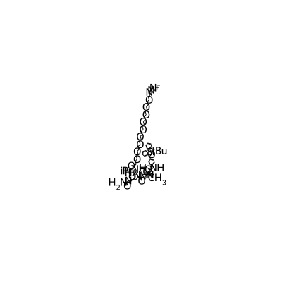 CC(C)C(NC(=O)CCOCCOCCOCCOCCOCCOCCOCCOCCOCCN=[N+]=[N-])C(=O)NC(CCCNC(N)=O)C(=O)NCC(=O)N(C)CC(=O)Nc1ccc(CO[Si](c2ccccc2)(c2ccccc2)C(C)(C)C)cc1